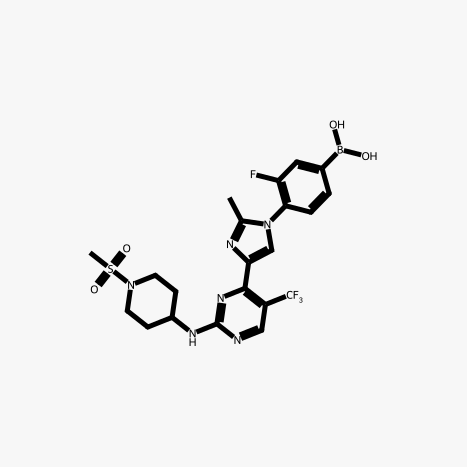 Cc1nc(-c2nc(NC3CCN(S(C)(=O)=O)CC3)ncc2C(F)(F)F)cn1-c1ccc(B(O)O)cc1F